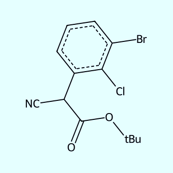 CC(C)(C)OC(=O)C(C#N)c1cccc(Br)c1Cl